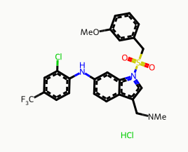 CNCc1cn(S(=O)(=O)Cc2cccc(OC)c2)c2cc(Nc3ccc(C(F)(F)F)cc3Cl)ccc12.Cl